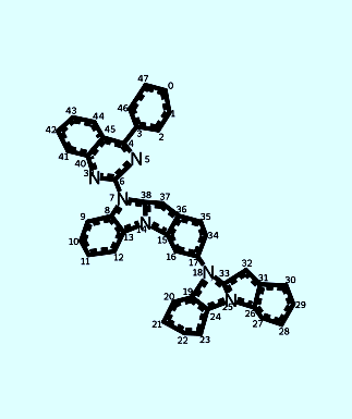 c1ccc(-c2nc(-n3c4ccccc4n4c5cc(-n6c7ccccc7n7c8ccccc8cc67)ccc5cc34)nc3ccccc23)cc1